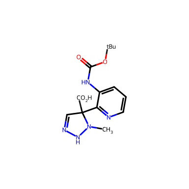 CN1NN=CC1(C(=O)O)c1ncccc1NC(=O)OC(C)(C)C